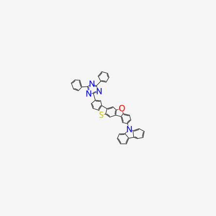 c1ccc(-c2nc(-c3ccccc3)nc(-c3ccc4sc5cc6c(cc5c4c3)oc3ccc(-n4c5ccccc5c5ccccc54)cc36)n2)cc1